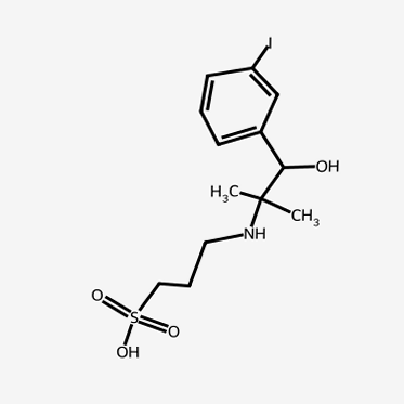 CC(C)(NCCCS(=O)(=O)O)C(O)c1cccc(I)c1